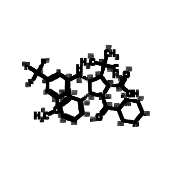 COc1cc(C(F)(F)F)cc(N[C@@H]2[C@@H](C(C)(C)C)[C@H](C(=O)O)N(C(=O)C3CCCCC3)[C@@H]2c2ccccc2)n1